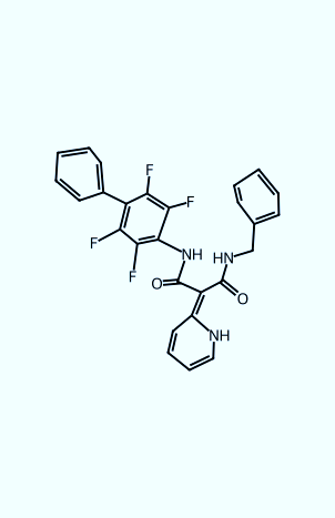 O=C(NCc1ccccc1)/C(C(=O)Nc1c(F)c(F)c(-c2ccccc2)c(F)c1F)=C1/C=CC=CN1